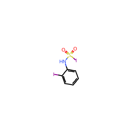 O=S(=O)(I)Nc1ccccc1I